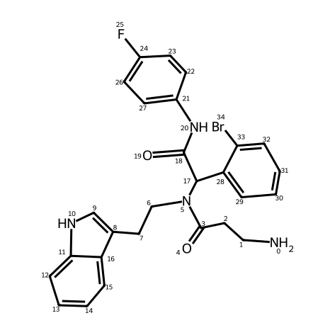 NCCC(=O)N(CCc1c[nH]c2ccccc12)C(C(=O)Nc1ccc(F)cc1)c1ccccc1Br